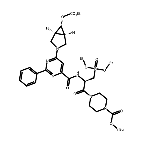 CCCCOC(=O)N1CCN(C(=O)[C@H](CP(=O)(OCC)OCC)NC(=O)c2cc(N3C[C@@H]4[C@H](C3)[C@H]4OC(=O)OCC)nc(-c3ccccc3)n2)CC1